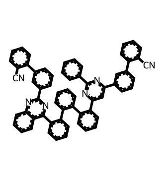 N#Cc1ccccc1-c1cccc(-c2cc(-c3ccccc3-c3ccccc3-c3ccccc3-c3nc(-c4cccc(-c5ccccc5C#N)c4)nc4ccccc34)nc(-c3ccccc3)n2)c1